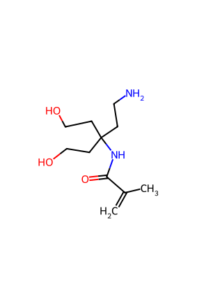 C=C(C)C(=O)NC(CCN)(CCO)CCO